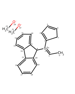 C/[CH]=[Ti+2](\[C]1=CC=CC1)[CH]1c2ccccc2-c2ccccc21.C[O-].C[O-]